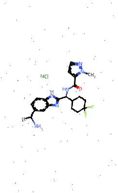 CCC(N)c1ccc2[nH]c([C@@H](NC(=O)c3ccnn3C)C3CCC(F)(F)CC3)nc2c1.Cl